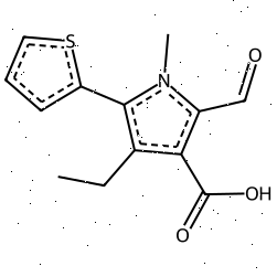 CCc1c(C(=O)O)c(C=O)n(C)c1-c1cccs1